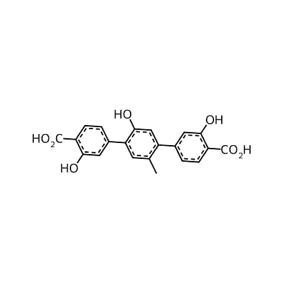 Cc1cc(-c2ccc(C(=O)O)c(O)c2)c(O)cc1-c1ccc(C(=O)O)c(O)c1